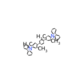 Cc1cc(-n2c3ccccc3c3ccccc32)c(C)cc1-c1ccc(-c2cc(C)c(-n3c4ccccc4c4ccccc43)cc2C)cc1